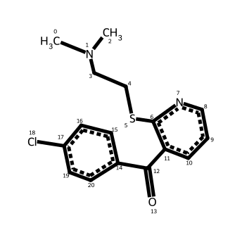 CN(C)CCSc1ncccc1C(=O)c1ccc(Cl)cc1